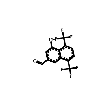 O=Cc1cc(O)c2c(C(F)(F)F)ccc(C(F)(F)F)c2c1